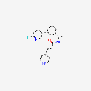 CC(NC(=O)C=Cc1ccncc1)c1cccc(-c2ccc(F)nc2)c1